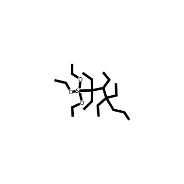 CCCC(CC)(CC)C(CC)C(CC)(CC)[Si](OCC)(OCC)OCC